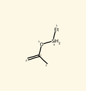 C=C(C)O[SiH2]CC